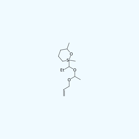 C=CCOC(C)OC(CC)[Si]1(C)CCCC(C)O1